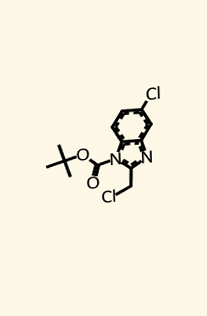 CC(C)(C)OC(=O)n1c(CCl)nc2cc(Cl)ccc21